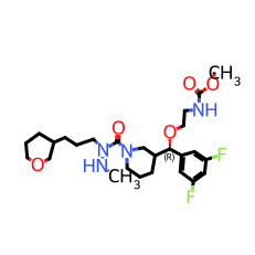 CNN(CCCC1CCCOC1)C(=O)N1CCCC([C@@H](OCCNC(=O)OC)c2cc(F)cc(F)c2)C1